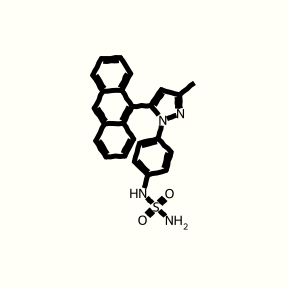 Cc1cc(-c2c3ccccc3cc3ccccc23)n(-c2ccc(NS(N)(=O)=O)cc2)n1